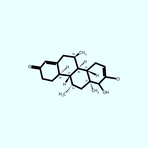 C[C@@H]1CC2=CC(=O)CC[C@@H]2[C@@H]2[C@@H]1[C@@H]1CC=C(Cl)C(O)[C@@]1(C)C[C@@H]2C